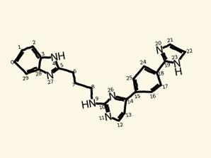 c1ccc2[nH]c(CCCNc3nccc(-c4ccc(-c5ncc[nH]5)cc4)n3)nc2c1